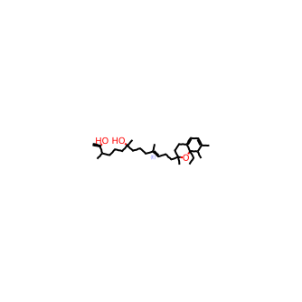 C=C(O)C(C)CCCC(C)(O)CCC/C(C)=C/CCC1(C)CCC2=CC=C(C)C(C)C2(CC)O1